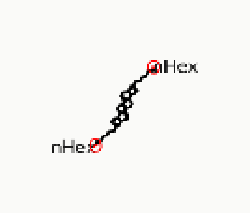 CCCCCCOCCCCCCc1ccc2c(ccc3c2ccc2c4ccc5cc(CCCCCCOCCCCCC)ccc5c4ccc32)c1